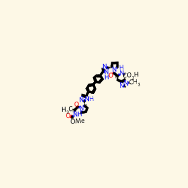 COC(=O)N[C@@H](C)C(=O)N1CCC[C@H]1c1ncc(-c2ccc(-c3ccc(-c4cnc([C@@H]5CCCN5C(=O)[C@H](Cc5cn(C)cn5)NC(=O)O)[nH]4)cc3)cc2)[nH]1